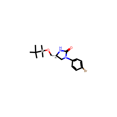 CC(C)(C)[Si](C)(C)OC[C@H]1CN(c2ccc(Br)cc2)C(=O)N1